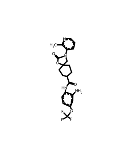 Cc1ncccc1N1CC2(CCC(C(=O)Nc3ccc(OC(F)(F)F)cc3N)CC2)OC1=O